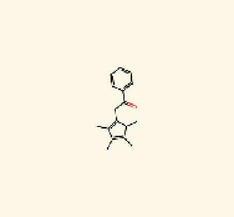 CC1=C(C)C(C)C(CC(=O)c2ccccc2)=C1C